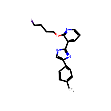 FC(F)(F)c1ccc(-c2c[nH]c(-c3cccnc3OCCCCI)n2)cc1